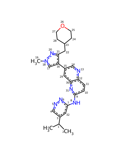 CC(C)c1cnnc(Nc2ccc3ncc(-c4cn(C)nc4CC4CCOCC4)cc3n2)c1